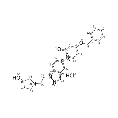 Cl.O=c1cc(OCc2ccccc2)ccn1-c1ccc2c(cnn2CCN2CCC(O)C2)c1